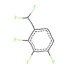 F[C](F)c1ccc(F)c(F)c1F